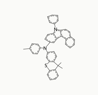 Cc1ccc(N(c2ccc3c(c2)Sc2ccccc2C3(C)C)c2ccc3c(c2)c2c4ccccc4ccc2n3-c2ccccc2)cc1